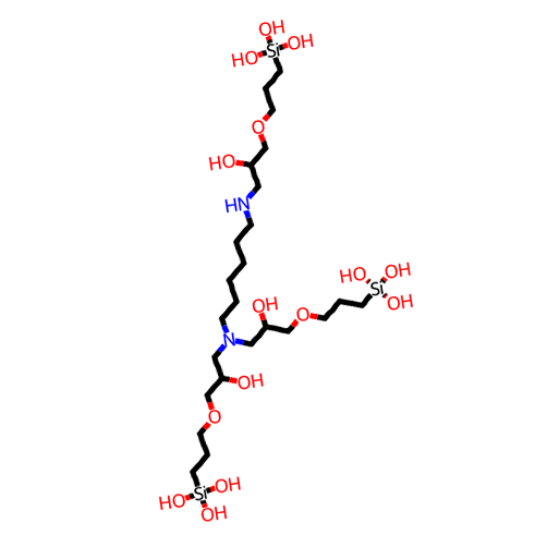 OC(CNCCCCCCN(CC(O)COCCC[Si](O)(O)O)CC(O)COCCC[Si](O)(O)O)COCCC[Si](O)(O)O